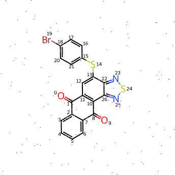 O=C1c2ccccc2C(=O)c2c1cc(Sc1ccc(Br)cc1)c1nsnc21